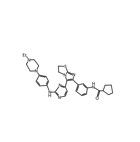 CCN1CCN(c2ccc(Nc3nccc(-c4c(-c5cccc(NC(=O)C6CCCC6)c5)nc5n4CCS5)n3)cc2)CC1